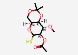 CO[C@H]1[C@@H]2OC(C)(C)OC[C@@H]2OC(S)[C@@H]1OC(C)=O